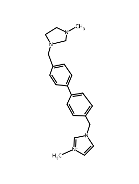 CN1CCN(Cc2ccc(-c3ccc(Cn4cc[n+](C)c4)cc3)cc2)C1